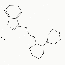 c1ccc2c(CCO[C@H]3CCCCC3N3CCOCC3)csc2c1